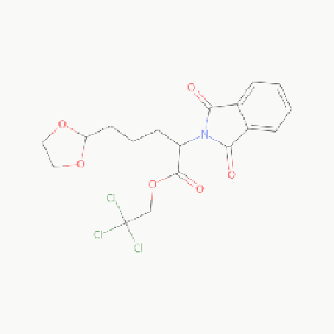 O=C(OCC(Cl)(Cl)Cl)C(CCCC1OCCO1)N1C(=O)c2ccccc2C1=O